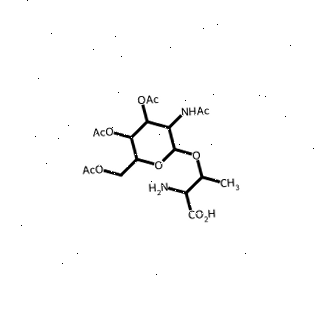 CC(=O)NC1C(OC(C)C(N)C(=O)O)OC(COC(C)=O)C(OC(C)=O)C1OC(C)=O